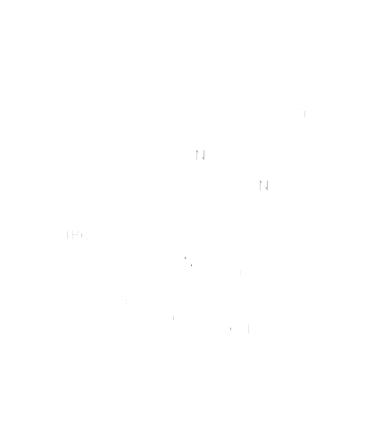 CC(C)(C)OC(=O)N(c1cnc(CBr)nc1)S(C)(=O)=O